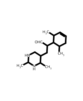 CC1NCC(CC(C=O)C2C(C)C=CCC2C)C(C)N1